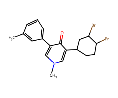 Cn1cc(-c2cccc(C(F)(F)F)c2)c(=O)c(C2CCC(Br)C(Br)C2)c1